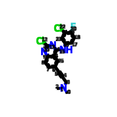 CN(C)CC#Cc1ccc2nc(Cl)nc(Nc3ccc(F)c(Cl)c3)c2c1